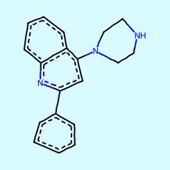 c1ccc(-c2cc(N3CCNCC3)c3ccccc3n2)cc1